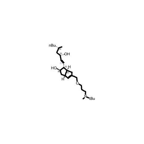 CCCC[C@H](C)C[C@H](O)/C=C/[C@@H]1[C@H]2CC(COCCCN(C)C(C)(C)C)=C[C@H]2C[C@H]1O